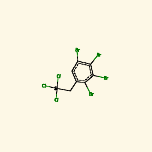 Cl[Si](Cl)(Cl)Cc1cc(Br)c(Br)c(Br)c1Br